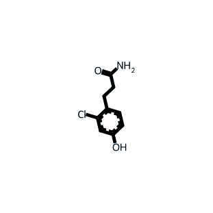 NC(=O)CCc1ccc(O)cc1Cl